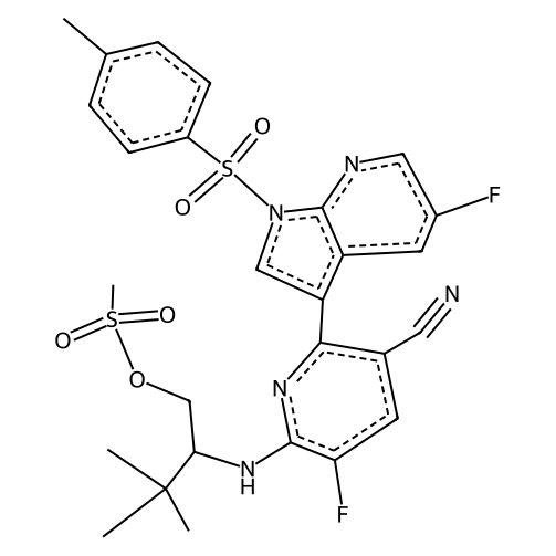 Cc1ccc(S(=O)(=O)n2cc(-c3nc(NC(COS(C)(=O)=O)C(C)(C)C)c(F)cc3C#N)c3cc(F)cnc32)cc1